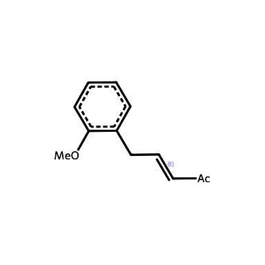 COc1ccccc1C/C=C/C(C)=O